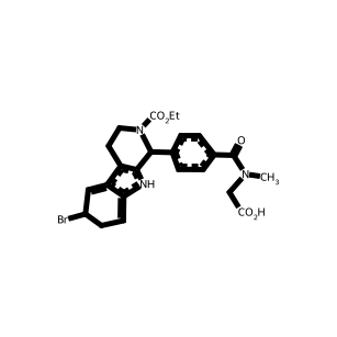 CCOC(=O)N1CCc2c([nH]c3c2=CC(Br)CC=3)C1c1ccc(C(=O)N(C)CC(=O)O)cc1